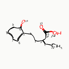 CCC(CCC1=CC=CCC1=O)C(=O)O